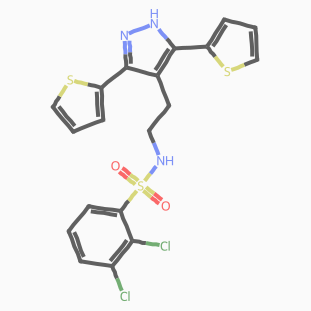 O=S(=O)(NCCc1c(-c2cccs2)n[nH]c1-c1cccs1)c1cccc(Cl)c1Cl